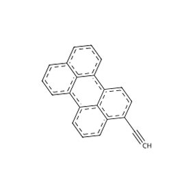 C#Cc1ccc2c3cccc4cccc(c5cccc1c52)c43